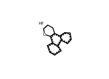 F.c1ccc2c(c1)c1c(c3ccccc32)OCCC1